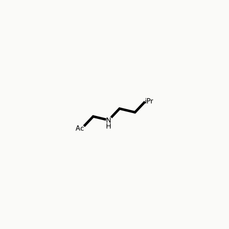 CC(=O)CNCCC(C)C